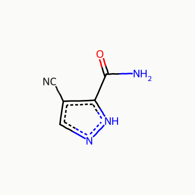 N#Cc1cn[nH]c1C(N)=O